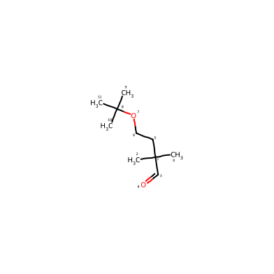 CC(C)(C=O)CCOC(C)(C)C